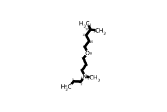 CCCN(C)CCCOCCCC(C)C